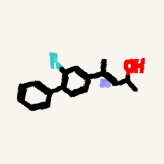 C/C(=C\C(C)O)c1ccc(-c2ccccc2)c(F)c1